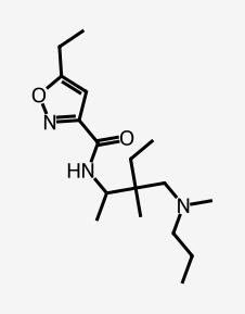 CCCN(C)CC(C)(CC)C(C)NC(=O)c1cc(CC)on1